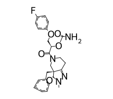 CN1N=C2CCN(C(=O)[C@@H](COc3ccc(F)cc3)OC(N)=O)C[C@@]2(Cc2ccccc2)C1=O